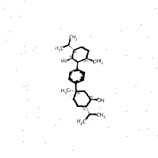 CC(C)[C@@H]1CC[C@@](C)(c2ccc(C3[C@H](C)CC[C@@H](C(C)C)[C@@H]3O)cc2)C[C@H]1O